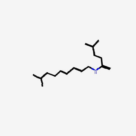 C=C(CCC(C)C)NCCCCCCCC(C)C